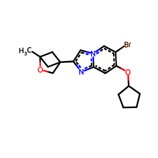 CC12CC(c3cn4cc(Br)c(OC5CCCC5)cc4n3)(CO1)C2